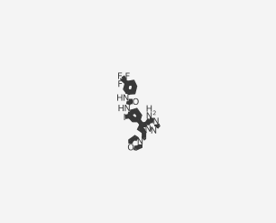 Nc1ncnn2c(CN3CCOCC3)cc(-c3ccc(NC(=O)Nc4cccc(C(F)(F)F)c4)c(I)c3)c12